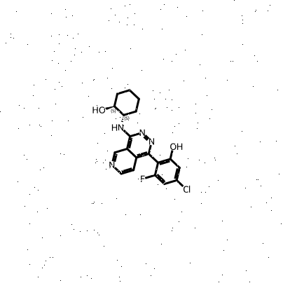 Oc1cc(Cl)cc(F)c1-c1nnc(N[C@H]2CCCC[C@@H]2O)c2cnccc12